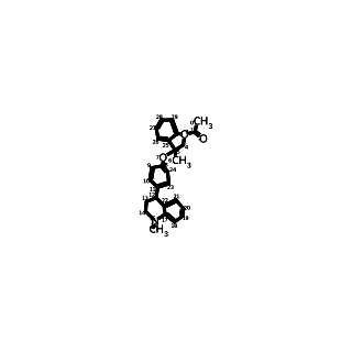 CC(=O)OCC(C)(Oc1ccc(C2CCN(C)c3ccccc32)cc1)c1ccccc1